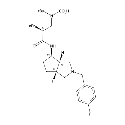 CCC[C@@H](CN(C(=O)O)C(C)(C)C)C(=O)N[C@@H]1CC[C@H]2CN(Cc3ccc(F)cc3)C[C@H]21